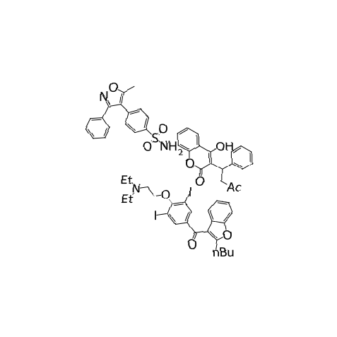 CC(=O)CC(c1ccccc1)c1c(O)c2ccccc2oc1=O.CCCCc1oc2ccccc2c1C(=O)c1cc(I)c(OCCN(CC)CC)c(I)c1.Cc1onc(-c2ccccc2)c1-c1ccc(S(N)(=O)=O)cc1